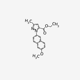 CCOC(=O)c1cc(C)nn1-c1ccc2cc(OC)ccc2c1